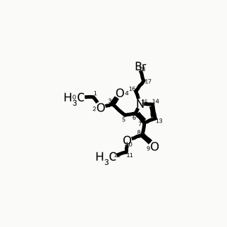 CCOC(=O)Cc1c(C(=O)OCC)ccn1CCBr